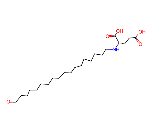 O=CCCCCCCCCCCCCCCCCCN[C@@H](CCC(=O)O)C(=O)O